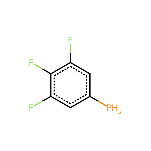 Fc1cc(P)cc(F)c1F